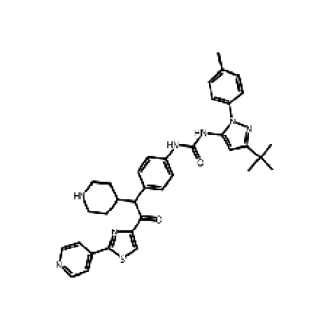 Cc1ccc(-n2nc(C(C)(C)C)cc2NC(=O)Nc2ccc(C(C(=O)c3csc(-c4ccncc4)n3)C3CCNCC3)cc2)cc1